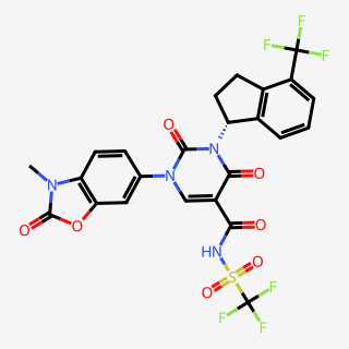 Cn1c(=O)oc2cc(-n3cc(C(=O)NS(=O)(=O)C(F)(F)F)c(=O)n([C@@H]4CCc5c4cccc5C(F)(F)F)c3=O)ccc21